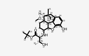 CO[C@@]12CCC(N[C@H](C(=O)OC(C)(C)C)[C@@H](C)O)C3Oc4c(O)ccc5c4[C@@]31CCN(C)[C@@H]2C5